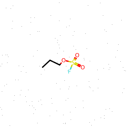 CCCOS(=O)(=O)F